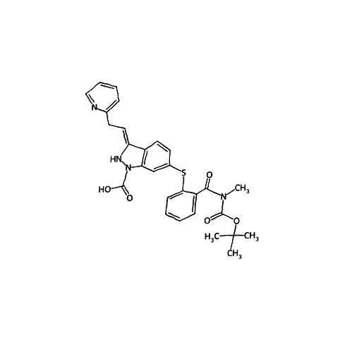 CN(C(=O)OC(C)(C)C)C(=O)c1ccccc1Sc1ccc2c(c1)N(C(=O)O)NC2=CCc1ccccn1